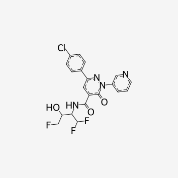 O=C(NC(C(F)F)C(O)CF)c1cc(-c2ccc(Cl)cc2)nn(-c2cccnc2)c1=O